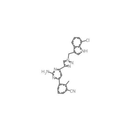 Cc1c(C#N)cccc1-c1cc(-c2cn(Cc3c[nH]c4c(Cl)cccc34)nn2)nc(N)n1